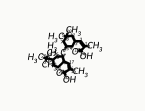 CC(=CC1CC(C)CC(C)(C)C1)C(=O)O.CC(=CC1CCC(C(C)(C)C)CC1)C(=O)O